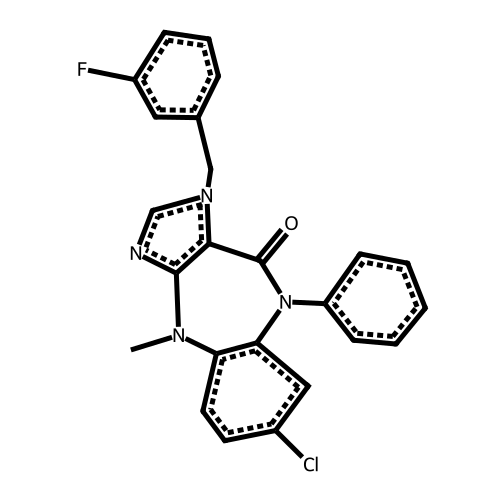 CN1c2ccc(Cl)cc2N(c2ccccc2)C(=O)c2c1ncn2Cc1cccc(F)c1